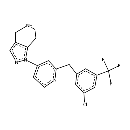 FC(F)(F)c1cc(Cl)cc(Cc2cc(-n3ncc4c3CCNC4)ccn2)c1